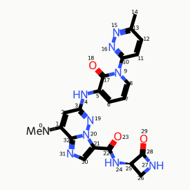 CNc1cc(Nc2cccn(-c3ccc(C)nn3)c2=O)nn2c(C(=O)N[C@@H]3CNC3=O)cnc12